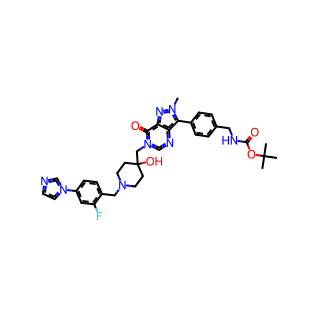 Cn1nc2c(=O)n(CC3(O)CCN(Cc4ccc(-n5ccnc5)cc4F)CC3)cnc2c1-c1ccc(CNC(=O)OC(C)(C)C)cc1